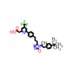 CC(Cc1ccc(C(C)(C)C)cc1)N1C(=O)N=NC1CCCc1ccc(-c2cc(C(F)(F)F)cc(CC(=O)O)n2)cc1